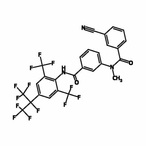 CN(C(=O)c1cccc(C#N)c1)c1cccc(C(=O)Nc2c(C(F)(F)F)cc(C(F)(C(F)(F)F)C(F)(F)F)cc2C(F)(F)F)c1